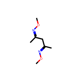 CON=C(C)CC(C)=NOC